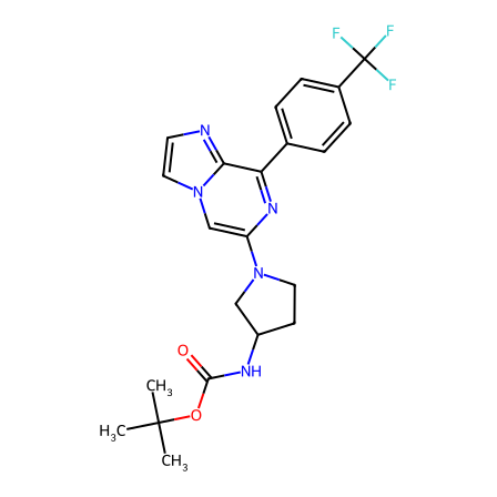 CC(C)(C)OC(=O)NC1CCN(c2cn3ccnc3c(-c3ccc(C(F)(F)F)cc3)n2)C1